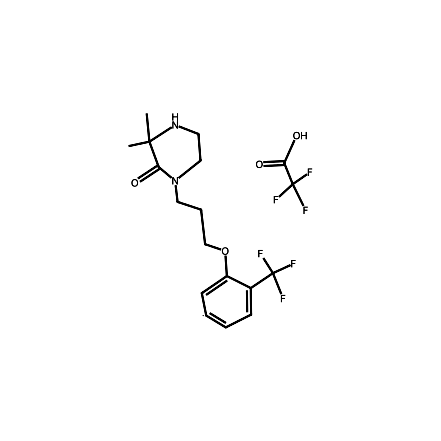 CC1(C)NCCN(CCCOc2c[c]ccc2C(F)(F)F)C1=O.O=C(O)C(F)(F)F